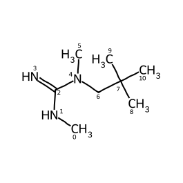 CNC(=N)N(C)CC(C)(C)C